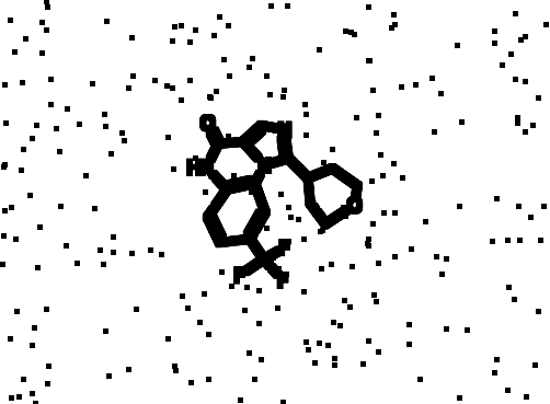 O=c1[nH]c2ccc(C(F)(F)F)cc2n2c(C3CCOCC3)ncc12